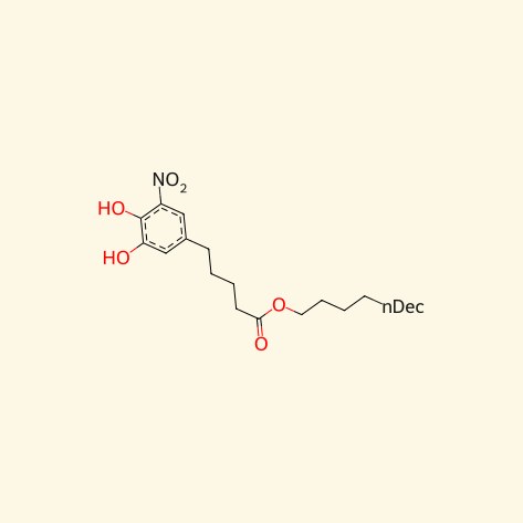 CCCCCCCCCCCCCCOC(=O)CCCCc1cc(O)c(O)c([N+](=O)[O-])c1